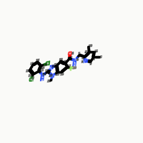 Cc1cnc(CNC(=O)c2cc3nc(Nc4c(Cl)cccc4Cl)n(C)c3cc2F)c(C)c1